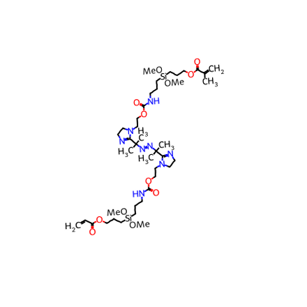 C=CC(=O)OCCC[Si](CCCNC(=O)OCCN1CCN=C1C(C)(C)N=NC(C)(C)C1=NCCN1CCOC(=O)NCCC[Si](CCCOC(=O)C(=C)C)(OC)OC)(OC)OC